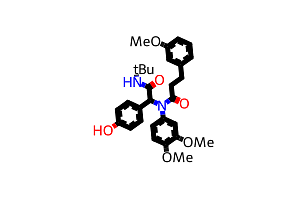 COc1cccc(CCC(=O)N(c2ccc(OC)c(OC)c2)C(C(=O)NC(C)(C)C)c2ccc(O)cc2)c1